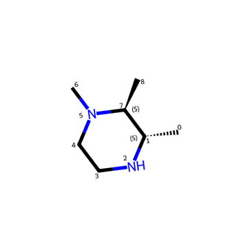 C[C@@H]1NCCN(C)[C@H]1C